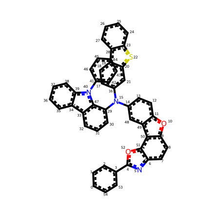 c1ccc(-c2nc3ccc4oc5ccc(N(c6ccc7c(c6)sc6ccccc67)c6cccc7c8ccccc8n(-c8ccccc8)c67)cc5c4c3o2)cc1